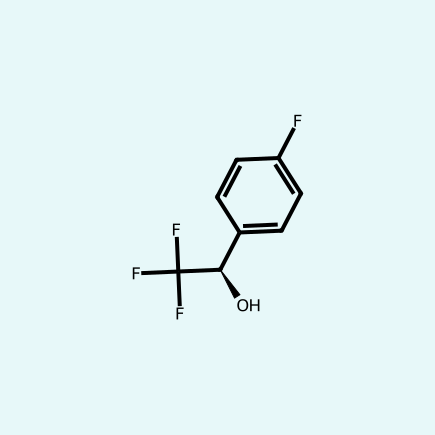 O[C@H](c1ccc(F)cc1)C(F)(F)F